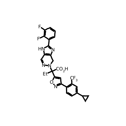 CCC(C(=O)O)(c1cc(-c2ccc(C3CC3)cc2C(F)(F)F)no1)N1Cc2nc(-c3cccc(F)c3F)[nH]c2C=N1